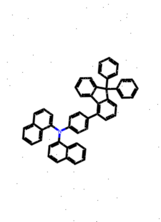 c1ccc(C2(c3ccccc3)c3ccccc3-c3c(-c4ccc(N(c5cccc6ccccc56)c5cccc6ccccc56)cc4)cccc32)cc1